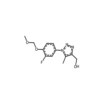 COCOc1ccc(-n2nnc(CO)c2C)cc1F